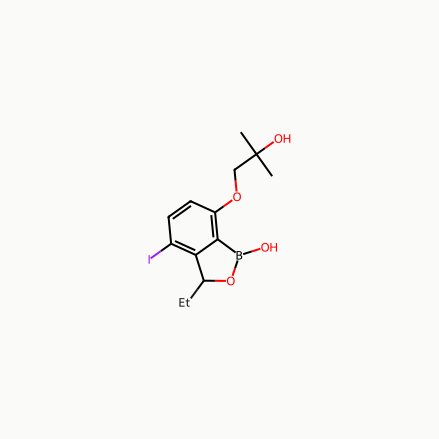 CCC1OB(O)c2c(OCC(C)(C)O)ccc(I)c21